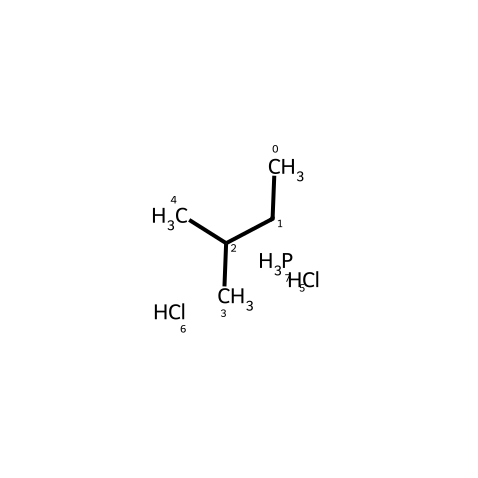 CCC(C)C.Cl.Cl.P